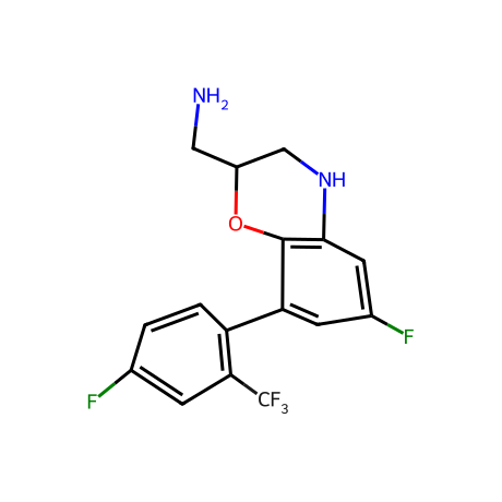 NCC1CNc2cc(F)cc(-c3ccc(F)cc3C(F)(F)F)c2O1